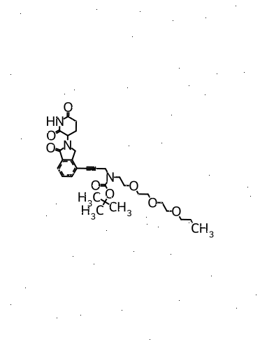 CCCOCCOCCOCCN(CC#Cc1cccc2c1CN(C1CCC(=O)NC1=O)C2=O)C(=O)OC(C)(C)C